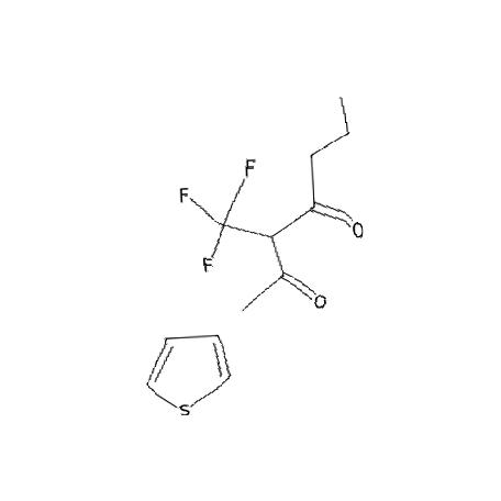 CCCC(=O)C(C(C)=O)C(F)(F)F.c1ccsc1